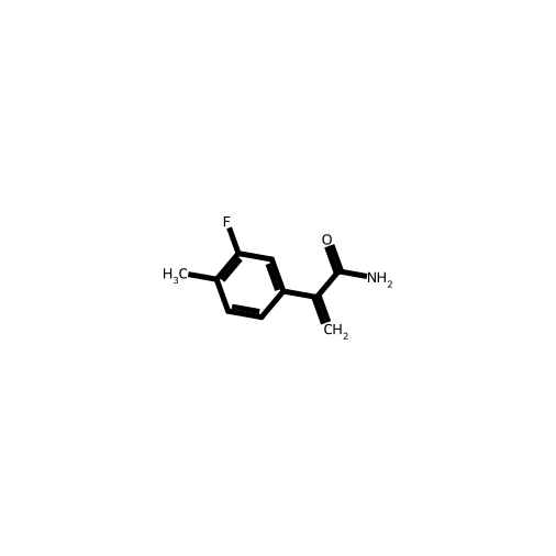 C=C(C(N)=O)c1ccc(C)c(F)c1